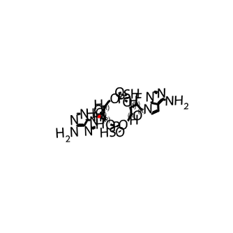 Nc1ncnc2c1ccn2[C@@H]1O[C@@H]2COP(=O)(S)O[C@@H]3[C@H](O)[C@@H](COP(=O)(S)O[C@H]2[C@H]1F)O[C@H]3n1cnc2c(N)ncnc21